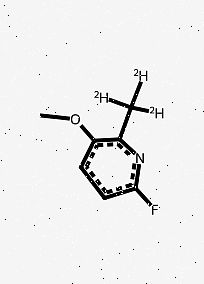 [2H]C([2H])([2H])c1nc(F)ccc1OC